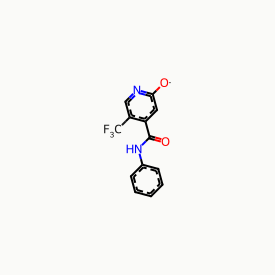 [O]c1cc(C(=O)Nc2ccccc2)c(C(F)(F)F)cn1